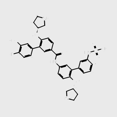 Cc1cc(-c2cc(C(=O)Nc3ccc(O[C@@H]4CCNC4)c(-c4cccc(NS(C)(=O)=O)c4)c3)ccc2O[C@H]2CCNC2)ccc1F